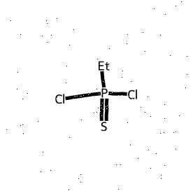 CCP(=S)(Cl)Cl